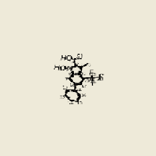 Cc1c(C(=O)O)n(O)c2cc(-c3ccccc3)cc(C(F)(F)F)c12